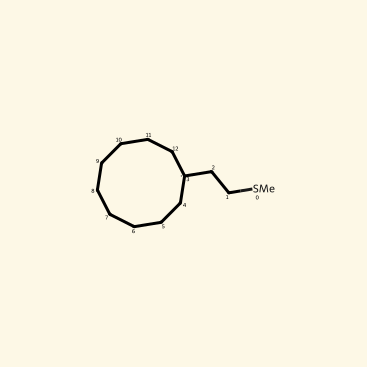 CSCC[C]1CCCCCCCCC1